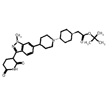 Cn1nc(C2CCC(=O)NC2=O)c2ccc(C3CCN([C@H]4CC[C@H](CC(=O)OC(C)(C)C)CC4)CC3)cc21